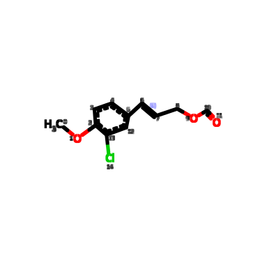 COc1ccc(/C=C/CO[C]=O)cc1Cl